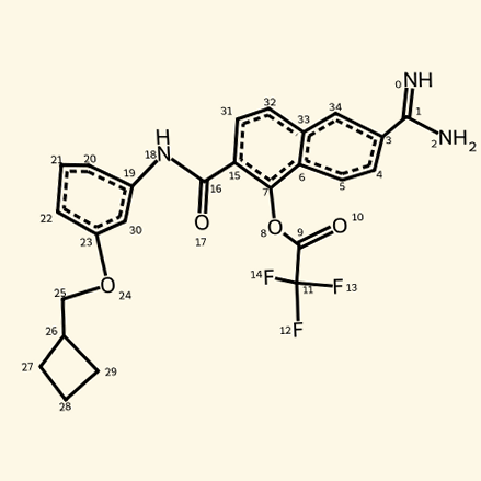 N=C(N)c1ccc2c(OC(=O)C(F)(F)F)c(C(=O)Nc3cccc(OCC4CCC4)c3)ccc2c1